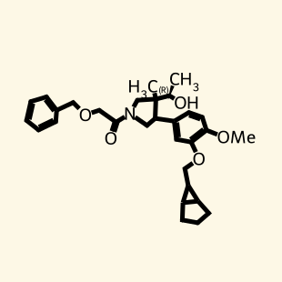 COc1ccc(C2CN(C(=O)COCc3ccccc3)CC2(C)[C@@H](C)O)cc1OCC1C2CCCC21